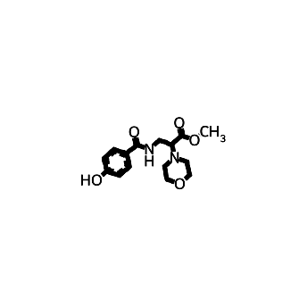 COC(=O)C(CNC(=O)c1ccc(O)cc1)N1CCOCC1